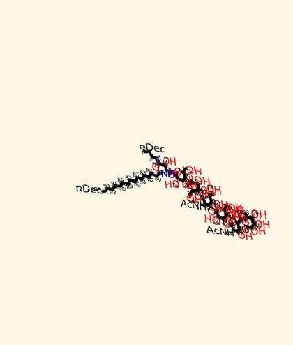 CCCCCCCCCCCCC/C=C/[C@@H](O)[C@H](CO[C@@H]1OC(CO)[C@@H](O[C@@H]2OC(CO)[C@H](O[C@@H]3OC(CO)[C@H](O)[C@H](O[C@@H]4OC(CO)[C@H](O)[C@H](O[C@@H]5OC(CO)[C@@H](O[C@@H]6OC(CO)[C@H](O)[C@H](O)C6O)[C@H](O)C5NC(C)=O)C4O)C3NC(C)=O)[C@H](O)C2O)[C@H](O)C1O)NC(=O)CCCCCCCCCCCCCCCCCCCCCCCCC